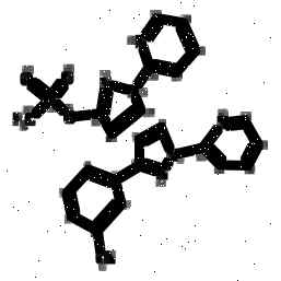 N#Cc1cccc(-c2ccn(-c3ccccn3)n2)c1.O=S(=O)(Oc1ccn(-c2ccccn2)n1)C(F)(F)F